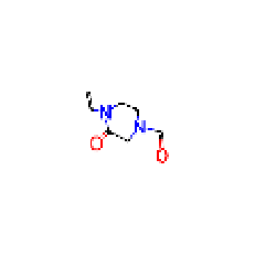 C=CN1CCN(C=O)CC1=O